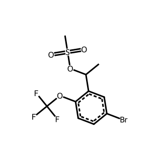 CC(OS(C)(=O)=O)c1cc(Br)ccc1OC(F)(F)F